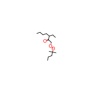 CCCCC(CC)C(=O)COOC(C)(C)CCC